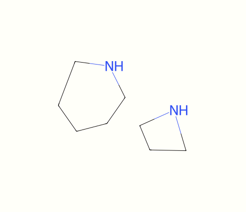 C1CCNCC1.C1CNC1